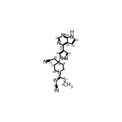 CS/C(=N\C#N)N1CCC(CC#N)(n2cc(-c3ncnc4[nH]ccc34)cn2)CC1